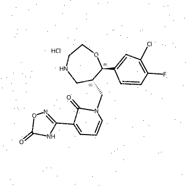 Cl.O=c1[nH]c(-c2cccn(C[C@@H]3CNCCO[C@H]3c3ccc(F)c(Cl)c3)c2=O)no1